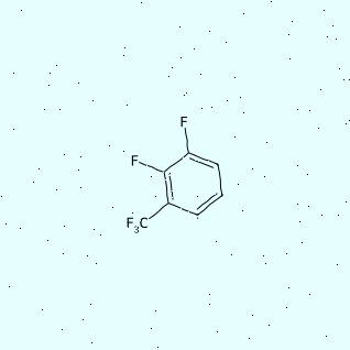 Fc1cc[c]c(C(F)(F)F)c1F